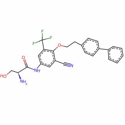 N#Cc1cc(NC(=O)[C@@H](N)CO)cc(C(F)(F)F)c1OCCc1ccc(-c2ccccc2)cc1